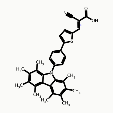 Cc1c(C)c(C)c2c(c1C)c1c(C)c(C)c(C)c(C)c1n2-c1ccc(-c2ccc(/C=C(\C#N)C(=O)O)s2)cc1